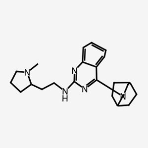 CN1CCCC1CCNc1nc(N2CC3CCC(CC3)C2)c2ccccc2n1